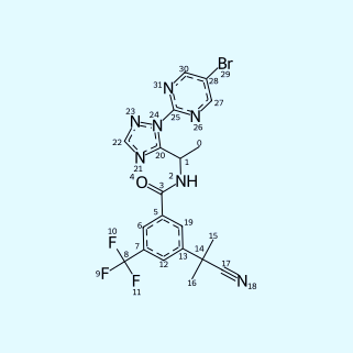 CC(NC(=O)c1cc(C(F)(F)F)cc(C(C)(C)C#N)c1)c1ncnn1-c1ncc(Br)cn1